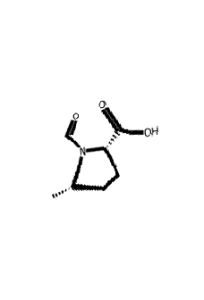 C[C@H]1CC[C@@H](C(=O)O)N1C=O